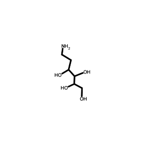 NCCC(O)C(O)C(O)CO